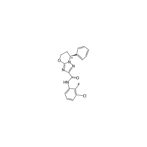 O=C(Nc1cccc(Cl)c1F)c1nc2n(n1)[C@H](c1ccccc1)CCO2